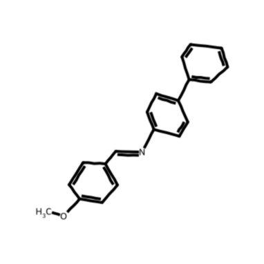 COc1ccc(C=Nc2ccc(-c3ccccc3)cc2)cc1